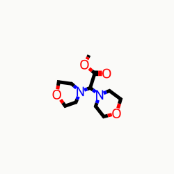 COC(=O)C(N1CCOCC1)N1CCOCC1